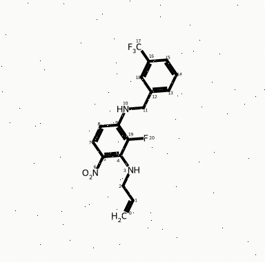 C=CCNc1c([N+](=O)[O-])ccc(NCc2cccc(C(F)(F)F)c2)c1F